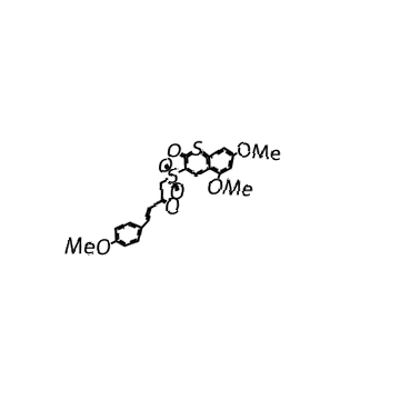 COc1ccc(C=CC(=O)CS(=O)(=O)c2cc3c(OC)cc(OC)cc3sc2=O)cc1